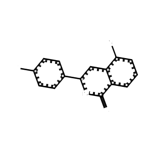 Nc1cccc2c(=O)[nH]c(-c3ccc(F)cc3)cc12